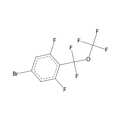 Fc1cc(Br)cc(F)c1C(F)(F)OC(F)(F)F